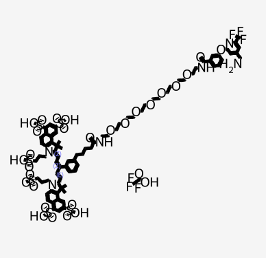 CC1(C)C(/C=C/C(=C/C=C2\N(CCCS(=O)(=O)O)c3ccc4c(S(=O)(=O)O)cc(S(=O)(=O)O)cc4c3C2(C)C)c2cccc(CCCCC(=O)NCCOCCOCCOCCOCCOCCOCCOCCNC(=O)c3cccc(Oc4cc(CN)cc(C(F)(F)F)n4)c3)c2)=[N+](CCCS(=O)(=O)[O-])c2ccc3c(S(=O)(=O)O)cc(S(=O)(=O)O)cc3c21.O=C(O)C(F)(F)F